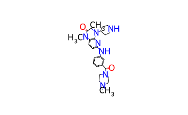 C[C@@H]1C(=O)N(C)c2ccc(Nc3cccc(C(=O)N4CCN(C)CC4)c3)nc2N1C1CCNCC1